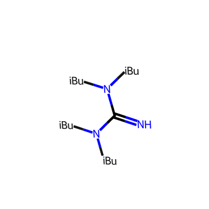 CCC(C)N(C(=N)N(C(C)CC)C(C)CC)C(C)CC